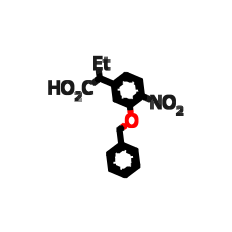 CCC(C(=O)O)c1ccc([N+](=O)[O-])c(OCc2ccccc2)c1